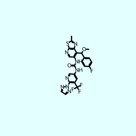 COC(c1ccc(F)cc1)c1c(NC(=O)Nc2cnc(-n3nccn3)c(C(F)(F)F)c2)cnc2sc(C)nc12